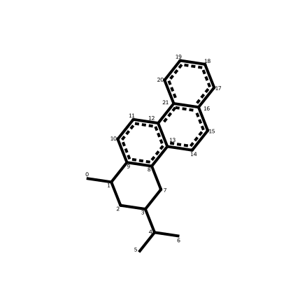 CC1CC(C(C)C)Cc2c1ccc1c2ccc2ccccc21